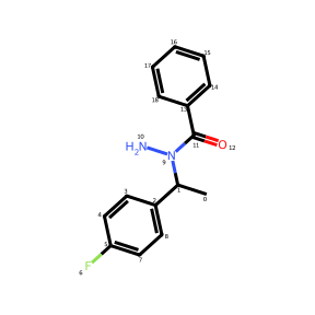 CC(c1ccc(F)cc1)N(N)C(=O)c1ccccc1